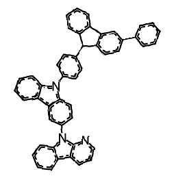 c1ccc(-c2ccc3c(c2)-c2ccccc2C3c2ccc(-n3c4ccccc4c4cc(-n5c6ccccc6c6cccnc65)ccc43)cc2)cc1